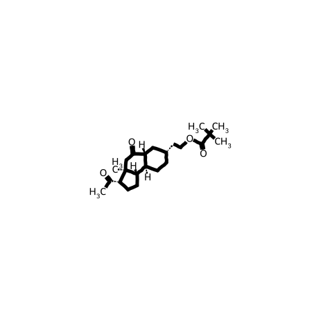 CC(=O)[C@H]1CC[C@H]2[C@@H]3CC[C@@H](CCOC(=O)C(C)(C)C)C[C@H]3C(=O)C[C@]12C